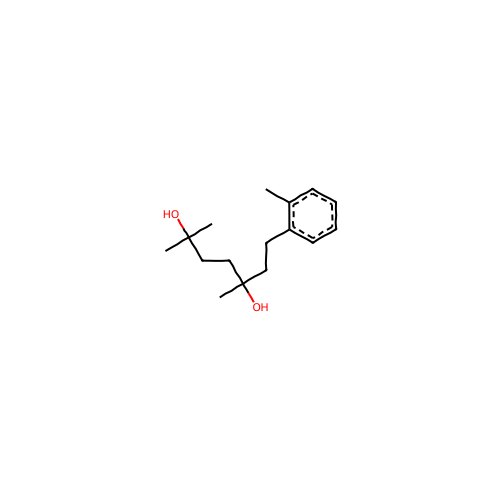 Cc1ccccc1CCC(C)(O)CCC(C)(C)O